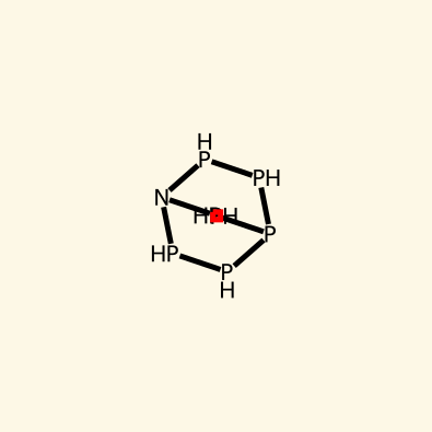 P1PP2PPN1PP2